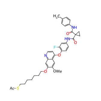 COc1cc2c(Oc3ccc(NC(=O)C4(C(=O)Nc5ccc(C)cc5)CC4)cc3F)ccnc2cc1OCCCCCCCSC(C)=O